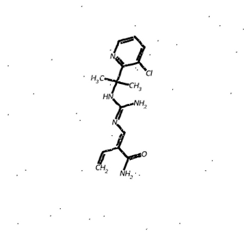 C=C/C(=C\N=C(/N)NC(C)(C)c1ncccc1Cl)C(N)=O